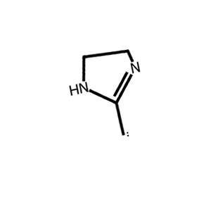 [CH]C1=NCCN1